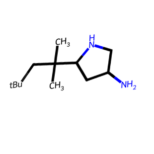 CC(C)(C)CC(C)(C)C1CC(N)CN1